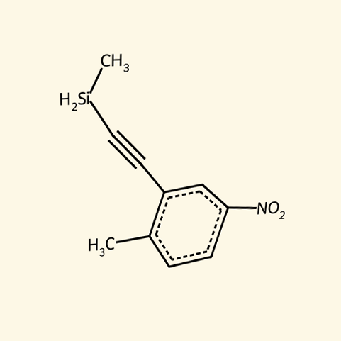 C[SiH2]C#Cc1cc([N+](=O)[O-])ccc1C